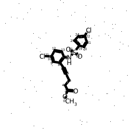 COC(=O)CCC#Cc1cc(Cl)ccc1NS(=O)(=O)c1ccc(Cl)cc1